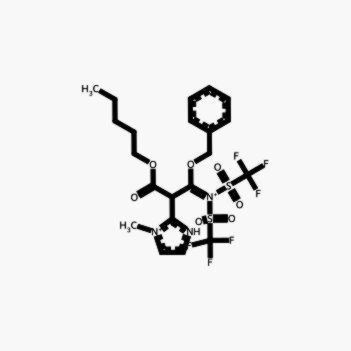 CCCCCOC(=O)C(C(OCc1ccccc1)=[N+](S(=O)(=O)C(F)(F)F)S(=O)(=O)C(F)(F)F)c1[nH]cc[n+]1C